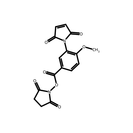 COc1ccc(C(=O)ON2C(=O)CCC2=O)cc1N1C(=O)C=CC1=O